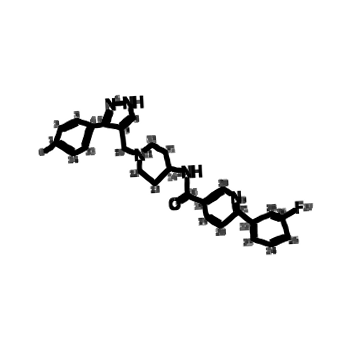 Cc1ccc(-c2n[nH]cc2CN2CCC(NC(=O)c3ccc(-c4cccc(F)c4)nc3)CC2)cc1